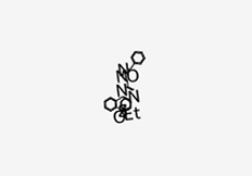 CCS(=O)(=O)c1ccccc1-c1cncc(-c2nnc(-c3ccccc3)o2)n1